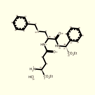 CCOC(=O)[C@@H](N)CCC(=O)N[C@@H](CSCc1ccccc1)C(=O)N[C@@H](C(=O)OCC)c1ccccc1.Cl